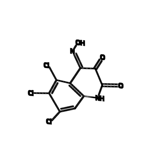 O=C1Nc2cc(Cl)c(Cl)c(Cl)c2/C(=N/O)C1=O